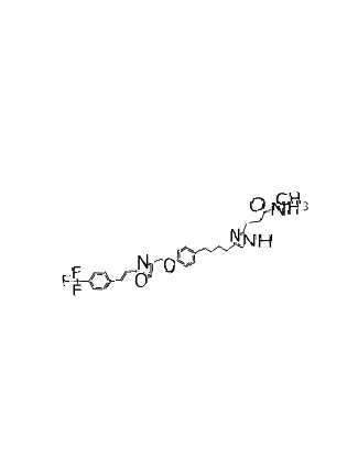 CNC(=O)CCc1nc(CCCCc2ccc(OCc3coc(/C=C/c4ccc(C(F)(F)F)cc4)n3)cc2)c[nH]1